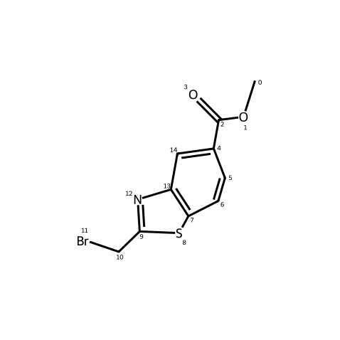 COC(=O)c1ccc2sc(CBr)nc2c1